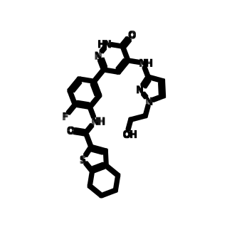 O=C(Nc1cc(-c2cc(Nc3ccn(CCO)n3)c(=O)[nH]n2)ccc1F)c1cc2c(s1)CCCC2